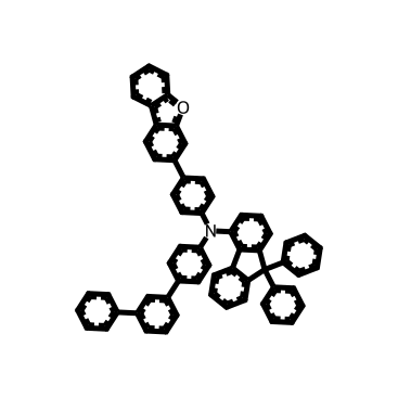 c1ccc(-c2cccc(-c3ccc(N(c4ccc(-c5ccc6c(c5)oc5ccccc56)cc4)c4cccc5c4-c4ccccc4C5(c4ccccc4)c4ccccc4)cc3)c2)cc1